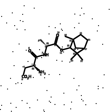 C[C@@H](NC(=O)[C@@H](N)CC(=O)O)C(=O)OC1C2(C)CCC(C2)C1(C)C